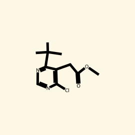 COC(=O)Cc1c(Cl)ncnc1C(C)(C)C